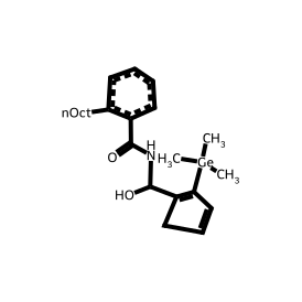 CCCCCCCCc1ccccc1C(=O)NC(O)C1=[C]([Ge]([CH3])([CH3])[CH3])C=CC1